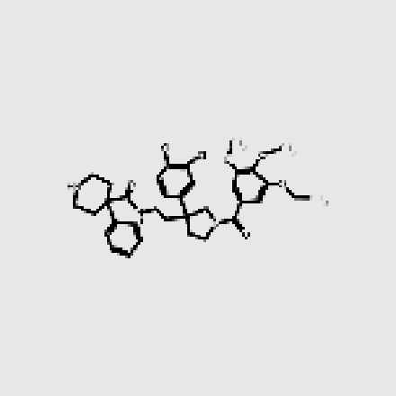 CCOc1cc(C(=O)N2CCC(CCNC(=O)C3(c4ccccc4)CCNCC3)(c3ccc(Cl)c(Cl)c3)C2)cc(OC)c1OC